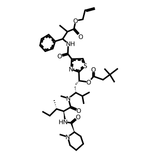 C=CCOC(=O)C(C)C(NC(=O)c1csc([C@@H](C[C@H](C(C)C)N(C)C(=O)[C@@H](NC(=O)[C@H]2CCCCN2C)[C@@H](C)CC)OC(=O)CC(C)(C)C)n1)c1ccccc1